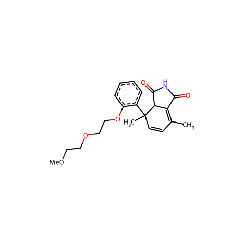 COCCOCCOc1ccccc1C1(C)C=CC(C)=C2C(=O)NC(=O)C21